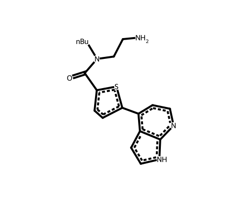 CCCCN(CCN)C(=O)c1ccc(-c2ccnc3[nH]ccc23)s1